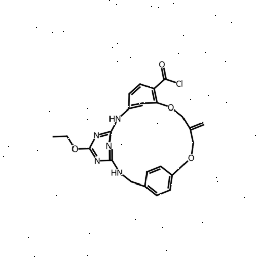 C=C1COc2ccc(cc2)CNc2nc(nc(OCC)n2)Nc2ccc(C(=O)Cl)c(c2)OC1